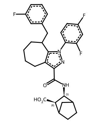 O=C(N[C@H]1C2CCC(C2)[C@H]1C(=O)O)c1nn(-c2ccc(F)cc2F)c2c1CCCCC2Cc1cccc(F)c1